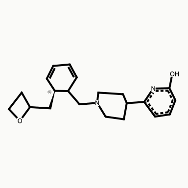 Oc1cccc(C2CCN(CC3C=CC=C[C@@H]3CC3CCO3)CC2)n1